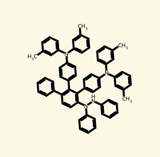 Cc1cccc(N(c2ccc(-c3c(-c4ccccc4)ccc(N(Nc4ccccc4)c4ccccc4)c3-c3ccc(N(c4cccc(C)c4)c4cccc(C)c4)cc3)cc2)c2cccc(C)c2)c1